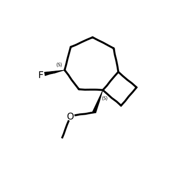 COC[C@]12CCC1CCC[C@H](F)C2